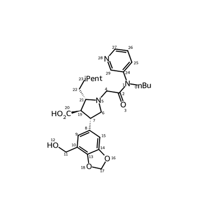 CCCCN(C(=O)CN1C[C@H](c2cc(CO)c3c(c2)OCO3)[C@@H](C(=O)O)[C@@H]1CC(C)CCC)c1cccnc1